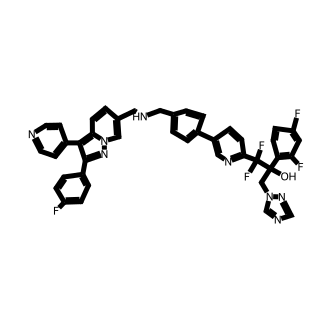 OC(Cn1cncn1)(c1ccc(F)cc1F)C(F)(F)c1ccc(-c2ccc(CNCc3ccc4c(-c5ccncc5)c(-c5ccc(F)cc5)nn4c3)cc2)cn1